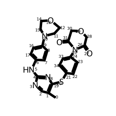 Cc1cnc(Nc2ccc(N3CCOCC3)cc2)nc1Sc1ccc(N2C(=O)COCC2=O)cc1